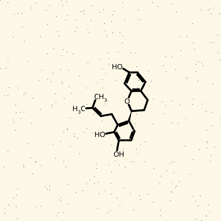 CC(C)=CCc1c([C@@H]2CCc3ccc(O)cc3O2)ccc(O)c1O